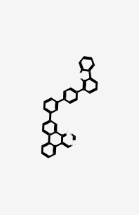 c1cc(-c2ccc(-c3cccc4c3sc3ccccc34)cc2)cc(-c2ccc3c4ccccc4c4cncnc4c3c2)c1